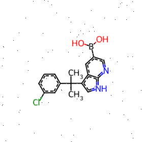 CC(C)(c1cccc(Cl)c1)c1c[nH]c2ncc(B(O)O)cc12